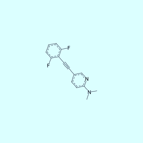 CN(C)c1ccc(C#Cc2c(F)cccc2F)cn1